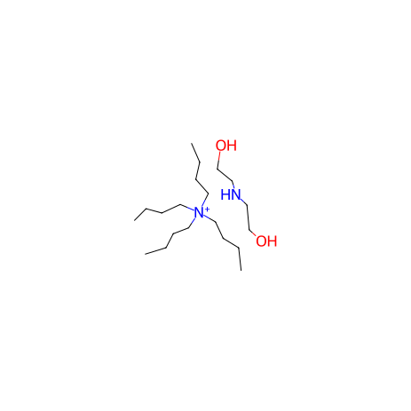 CCCC[N+](CCCC)(CCCC)CCCC.OCCNCCO